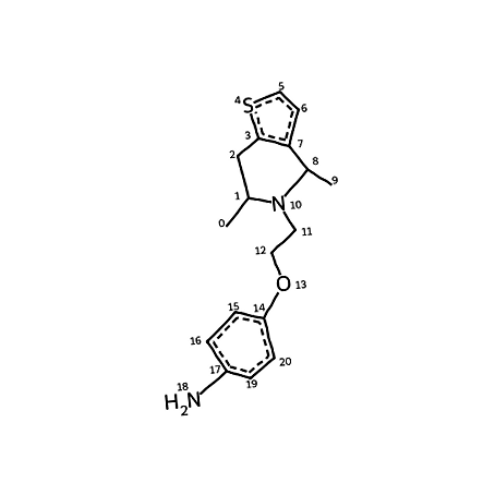 CC1Cc2sccc2C(C)N1CCOc1ccc(N)cc1